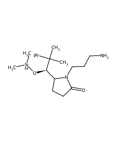 CC(C)C(C)(C)[C@H](O[SiH](C)C)C1CCC(=O)N1CCCN